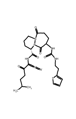 CC(C)CCC(=O)C(=[N+]=[N-])NC(=O)[C@@H]1CCCN2C(=O)CCC(NC(=O)NCCc3cccs3)C(=O)N12